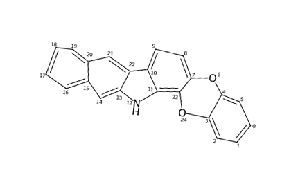 c1ccc2c(c1)Oc1ccc3c([nH]c4cc5ccccc5cc43)c1O2